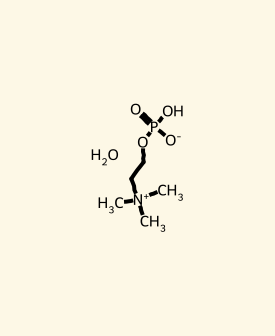 C[N+](C)(C)CCOP(=O)([O-])O.O